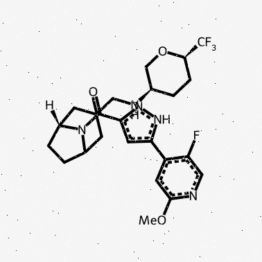 COc1cc(-c2cc(C(=O)N3C4CC[C@@H]3CC(CN[C@@H]3CC[C@H](C(F)(F)F)OC3)C4)n[nH]2)c(F)cn1